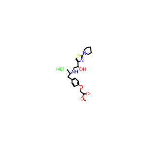 COC(=O)COc1ccc(CC(C)NCC(O)c2csc(N3CCCCC3)n2)cc1.Cl